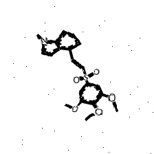 COc1cc(S(=O)(=O)C=Cc2cccc3c2ccn3C)cc(OC)c1OC